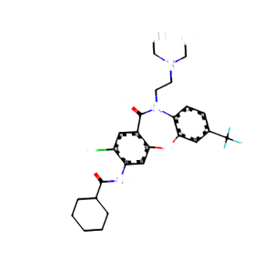 CCN(CC)CCN1C(=O)c2cc(Cl)c(NC(=O)C3CCCCC3)cc2Oc2cc(C(F)(F)F)ccc21